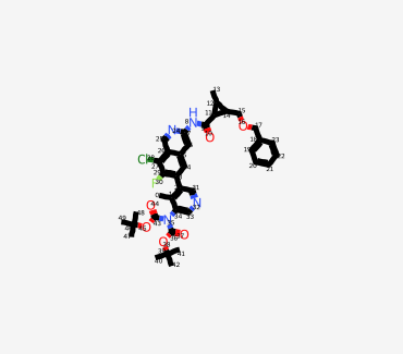 Cc1c(-c2cc3cc(NC(=O)C4C(C)C4COCc4ccccc4)ncc3c(Cl)c2F)cncc1N(C(=O)OC(C)(C)C)C(=O)OC(C)(C)C